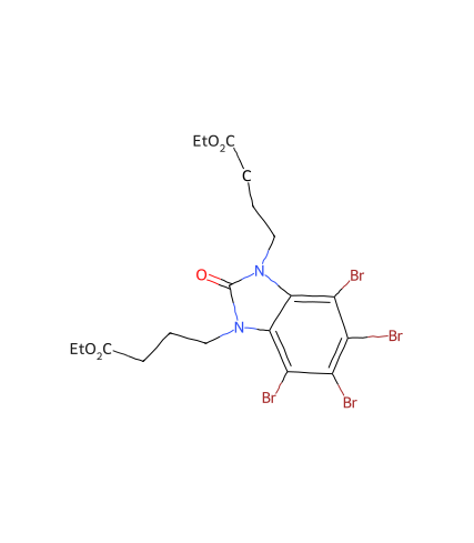 CCOC(=O)CCCn1c(=O)n(CCCC(=O)OCC)c2c(Br)c(Br)c(Br)c(Br)c21